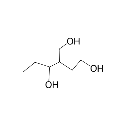 CCC(O)C(CO)CCO